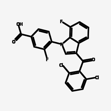 O=C(O)c1ccc(-n2cc(C(=O)c3c(Cl)cccc3Cl)c3cccc(F)c32)c(F)c1